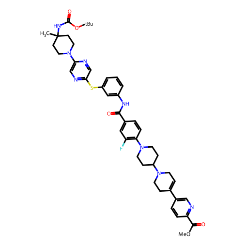 COC(=O)c1ccc(C2=CCN(C3CCN(c4ccc(C(=O)Nc5cccc(Sc6cnc(N7CCC(C)(NC(=O)OC(C)(C)C)CC7)cn6)c5)cc4F)CC3)CC2)cn1